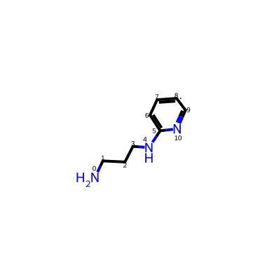 NCCCNc1cc[c]cn1